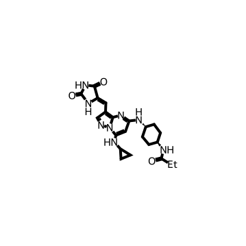 CCC(=O)N[C@H]1CC[C@H](Nc2cc(NC3CC3)n3ncc(/C=C4\NC(=O)NC4=O)c3n2)CC1